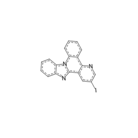 Ic1cnc2c3ccccc3n3c4ccccc4nc3c2c1